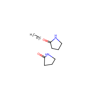 CC.O=C1CCCN1.O=C1CCCN1